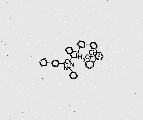 CC1(C)c2ccccc2-c2cccc(-c3cccc(-c4cccc(-c5ccc(-c6cc(-c7ccc(-c8ccccc8)cc7)nc(-c7ccccc7)n6)c6ccccc56)c4)c3)c21